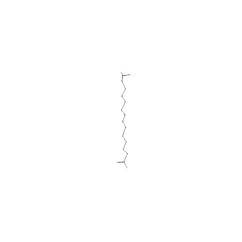 CCCCCC(O)CCCCCCCCCCCCC(C)O